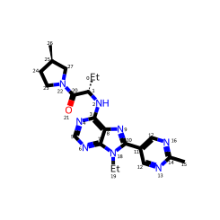 CC[C@H](Nc1ncnc2c1nc(-c1cnc(C)nc1)n2CC)C(=O)N1CC[C@@H](C)C1